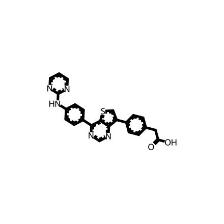 O=C(O)Cc1ccc(-c2csc3c(-c4ccc(Nc5ncccn5)cc4)ncnc23)cc1